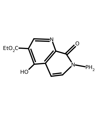 CCOC(=O)c1cnc2c(=O)n(P)ccc2c1O